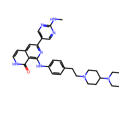 CNc1ncc(-c2cc3cc[nH]c(=O)c3c(Nc3ccc(CCN4CCC(N5CCOCC5)CC4)cc3)n2)cn1